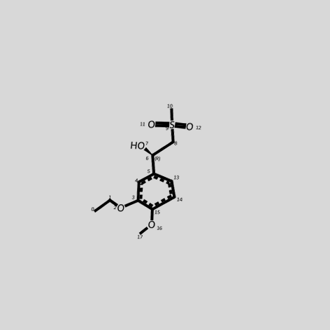 CCOc1cc([C@@H](O)CS(C)(=O)=O)ccc1OC